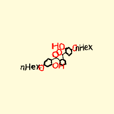 CCCCCCOc1ccc(C(=O)c2ccccc2C(=O)c2ccc(OCCCCCC)cc2O)c(O)c1